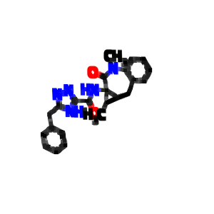 CN1C(=O)C2(NC(=O)c3nnc(Cc4ccccc4)[nH]3)C3C(c4ccccc41)C32C